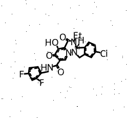 CCN1C(=O)c2c(O)c(=O)c(C(=O)NCc3ccc(F)cc3F)cn2N2Cc3cc(Cl)ccc3[C@@H]12